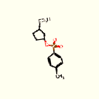 Cc1ccc(S(=O)(=O)OC2CCC(C(=O)O)C2)cc1